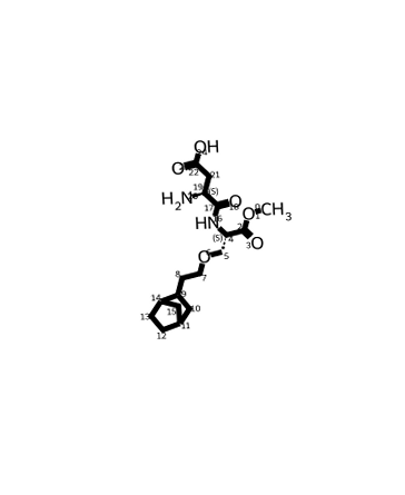 COC(=O)[C@H](COCCC1CC2CCC1C2)NC(=O)[C@@H](N)CC(=O)O